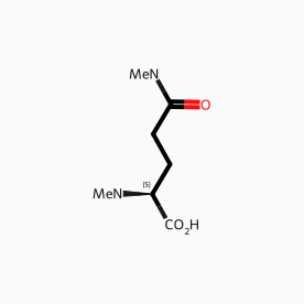 CNC(=O)CC[C@H](NC)C(=O)O